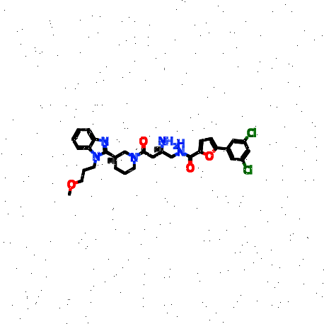 COCCCn1c([C@@H]2CCCN(C(=O)C[C@@H](N)CNC(=O)c3ccc(-c4cc(Cl)cc(Cl)c4)o3)C2)nc2ccccc21